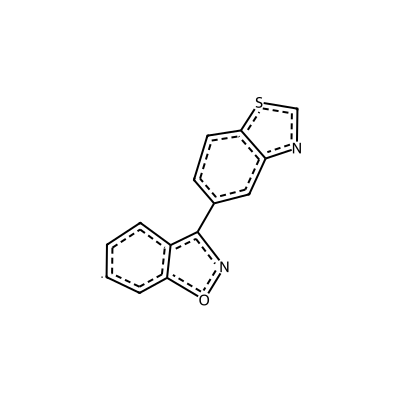 [c]1ccc2c(-c3ccc4scnc4c3)noc2c1